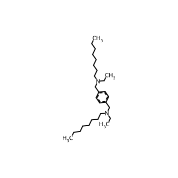 CCCCCCCCN(CC)Cc1ccc(CN(CC)CCCCCCCC)cc1